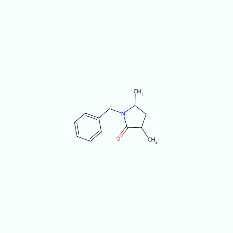 [CH2]C1CC(C)N(Cc2ccccc2)C1=O